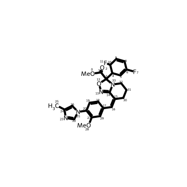 COC(=O)C1(C2C=C(F)C=CC2F)ON=C2/C(=C\c3ccc(-n4cnc(C)c4)c(OC)c3)CCCN21